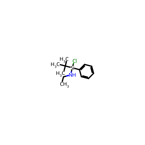 CCN[Si](Cl)(c1ccccc1)C(C)(C)C